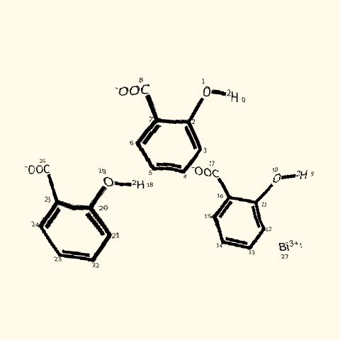 [2H]Oc1ccccc1C(=O)[O-].[2H]Oc1ccccc1C(=O)[O-].[2H]Oc1ccccc1C(=O)[O-].[Bi+3]